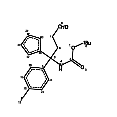 CC(C)(C)OC(=O)NC(CCC=O)(c1ccc(F)cc1)c1ccsc1